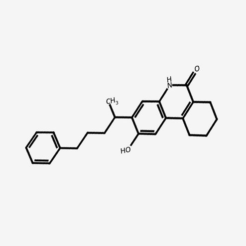 CC(CCCc1ccccc1)c1cc2[nH]c(=O)c3c(c2cc1O)CCCC3